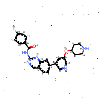 O=C(Nc1ncc2ccc(-c3cncc(OC4CCNCC4)c3)cc2n1)c1ccc(F)cc1